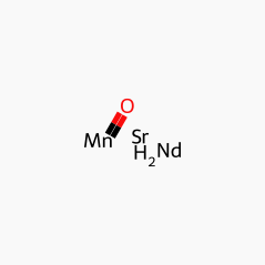 [Nd].[O]=[Mn].[SrH2]